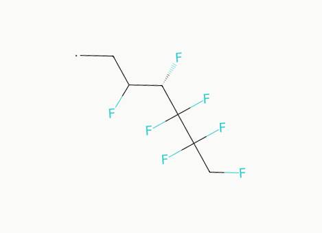 [CH2]CC(F)[C@H](F)C(F)(F)C(F)(F)CF